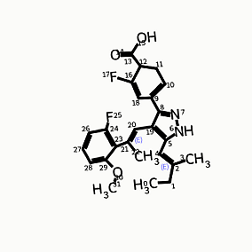 CC/C(C)=C/c1[nH]nc(C2=CCC(C(=O)O)C(F)=C2)c1/C=C(\C)c1c(F)cccc1OC